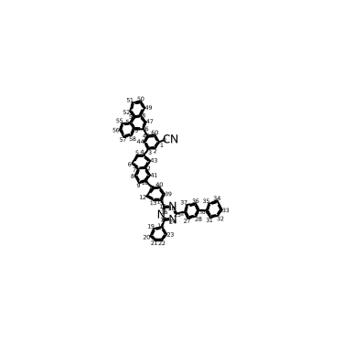 N#Cc1cc(-c2ccc3ccc(-c4ccc(-c5nc(-c6ccccc6)nc(-c6ccc(-c7ccccc7)cc6)n5)cc4)cc3c2)cc(-c2cc3ccccc3c3ccccc23)c1